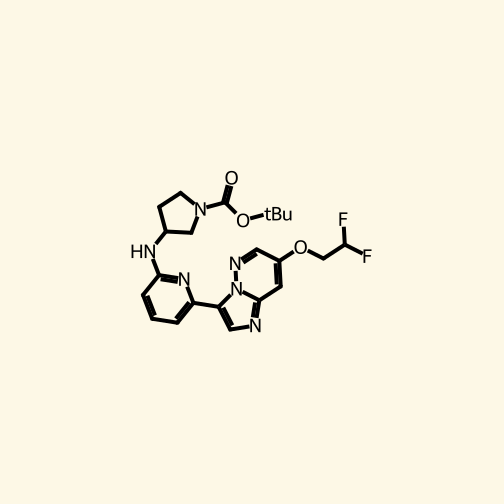 CC(C)(C)OC(=O)N1CCC(Nc2cccc(-c3cnc4cc(OCC(F)F)cnn34)n2)C1